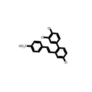 O=C(O)c1ccc(/C=C/c2cc(Cl)ccc2-c2ccc(Cl)c(Cl)c2)cc1